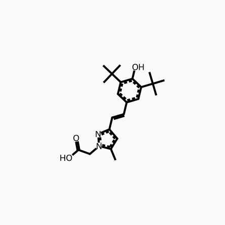 Cc1cc(C=Cc2cc(C(C)(C)C)c(O)c(C(C)(C)C)c2)nn1CC(=O)O